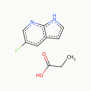 CCC(=O)O.Fc1cnc2[nH]ccc2c1